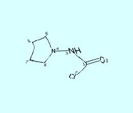 O=C(Cl)NN1CCCC1